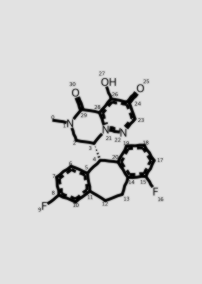 CN1C[C@@H](C2c3ccc(F)cc3CCc3c(F)cccc32)n2ncc(=O)c(O)c2C1=O